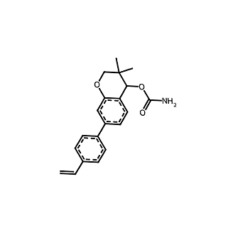 C=Cc1ccc(-c2ccc3c(c2)OCC(C)(C)C3OC(N)=O)cc1